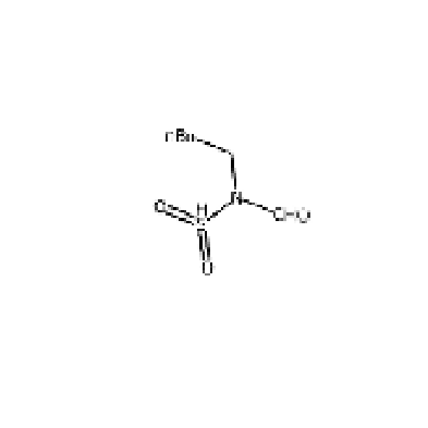 CCCCCN(C=O)[SH](=O)=O